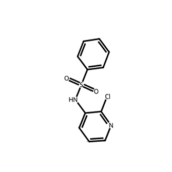 O=S(=O)(Nc1c[c]cnc1Cl)c1ccccc1